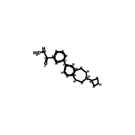 CNC(=O)c1cccc(-c2ccc3c(c2)CCN(C2CCC2)CC3)c1